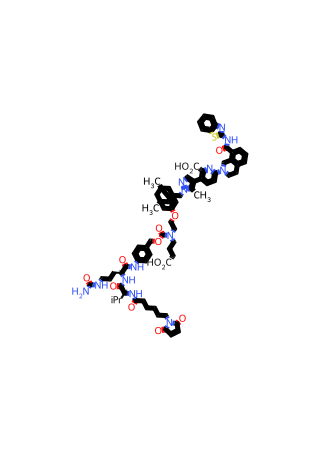 Cc1c(-c2ccc(N3CCc4cccc(C(=O)Nc5nc6ccccc6s5)c4C3)nc2C(=O)O)cnn1CC12CC3(C)CC(C)(C1)CC(OCCN(CCCC(=O)O)C(=O)OCc1ccc(NC(=O)[C@H](CCCNC(N)=O)NC(=O)[C@@H](NC(=O)CCCCCN4C(=O)C=CC4=O)C(C)C)cc1)(C3)C2